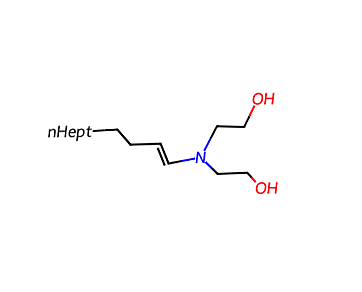 CCCCCCCCC/C=C/N(CCO)CCO